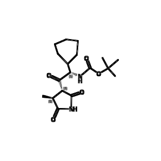 C[C@@H]1C(=O)NC(=O)[C@H]1C(=O)[C@@H](NC(=O)OC(C)(C)C)C1CCCCC1